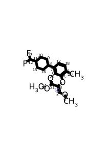 CO/C=C(\Oc1cc(C2CCC(C(F)F)CC2)ccc1C)C(=O)OC